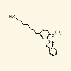 CCCCCCCCc1ccc(OC)c(-n2nc3ccccc3n2)c1